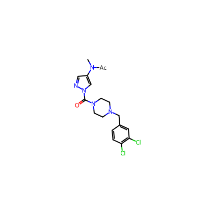 CC(=O)N(C)c1cnn(C(=O)N2CCN(Cc3ccc(Cl)c(Cl)c3)CC2)c1